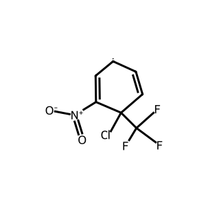 O=[N+]([O-])C1=C[CH]C=CC1(Cl)C(F)(F)F